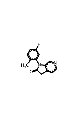 Cc1ccc(F)cc1N1C(=O)Cc2ccncc21